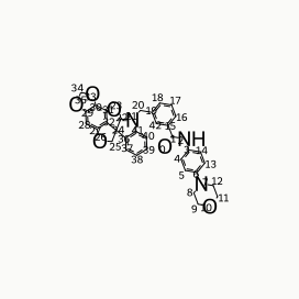 O=C(Nc1ccc(N2CCOCC2)cc1)c1cccc(CN2C(=O)C3(COc4cc5c(cc43)OCO5)c3ccccc32)c1